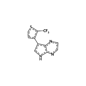 FC(F)(F)c1sccc1-c1c[nH]c2nccnc12